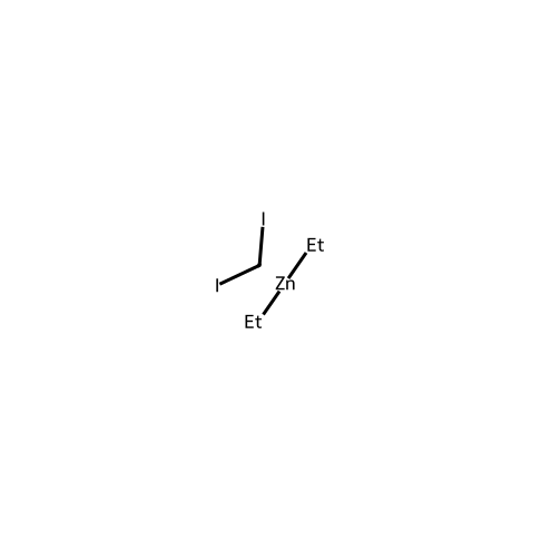 C[CH2][Zn][CH2]C.ICI